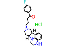 Cl.O=C(CCCN1CC[C@H]2[C@@H](C1)c1cccc3c1N2CCN3)c1ccc(F)cc1